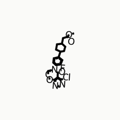 COC(=O)CC1CCC(c2ccc(N3CCOc4ncnc(Cl)c4C3=O)c(F)c2)CC1